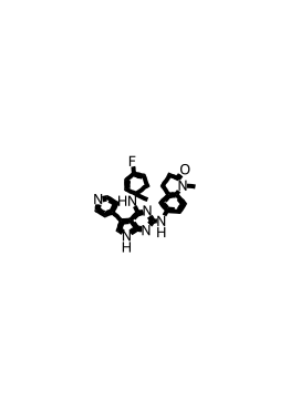 CN1C(=O)CCc2cc(Nc3nc(NC4(C)C=CC(F)=CC4)c4c(-c5ccncc5)c[nH]c4n3)ccc21